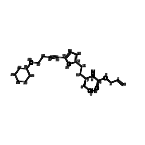 C=CCOC(=O)N[C@@H](CO)CCc1ccc(C#CCCOC2CCCCC2)o1